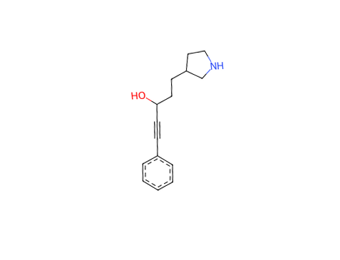 OC(C#Cc1ccccc1)CCC1CCNC1